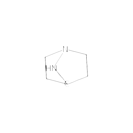 C1CC23CCN1C2NC3